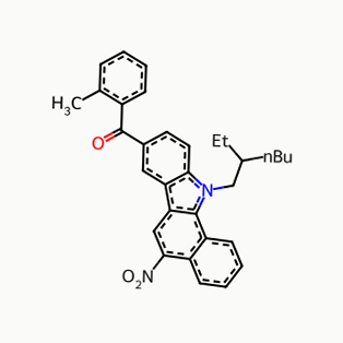 CCCCC(CC)Cn1c2ccc(C(=O)c3ccccc3C)cc2c2cc([N+](=O)[O-])c3ccccc3c21